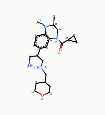 CC(=O)N1c2ccc(C(CN)CNCC3CCOCC3)cc2N(C(=O)C2CC2)C[C@@H]1C